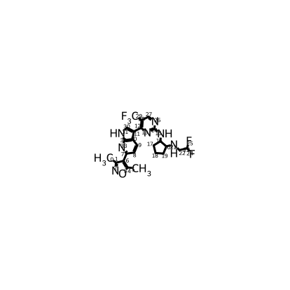 Cc1noc(C)c1-c1ccc2c(-c3nc(NC4CCCC4NCC(F)F)ncc3C(F)(F)F)c[nH]c2n1